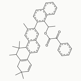 Cc1cc2c3c(ccc2cc1-c1ccc2ccccc2c1C(C)OC(=O)C(=O)c1ccccc1)C1=C(CC(C)(C)C=C1)C(C)C3(C)C